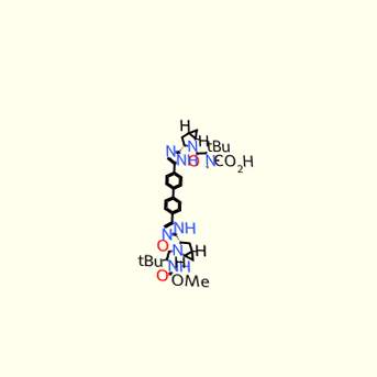 COC(=O)N[C@H](C(=O)N1[C@H](c2ncc(-c3ccc(-c4ccc(-c5cnc([C@@H]6C[C@@H]7C[C@@H]7N6C(=O)[C@@H](N(C)C(=O)O)C(C)(C)C)[nH]5)cc4)cc3)[nH]2)C[C@@H]2C[C@@H]21)C(C)(C)C